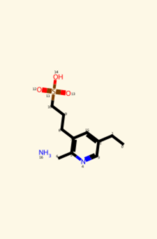 CCc1cnc(C)c(CCCS(=O)(=O)O)c1.N